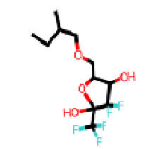 CCC(C)COCC1OC(O)(C(F)(F)F)C(F)(F)C1O